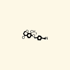 Cc1c(OCc2ccc(C#N)cc2)ccc2c1OCCC2=O